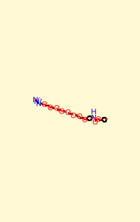 [N-]=[N+]=NCCOCCOCCOCCOCCOCCOCCOCCOc1ccc(NC(=O)OCc2ccccc2)cc1